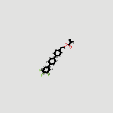 C=C(C)C(=O)OCCC1CCC(C2CCC(c3cc(F)c(F)c(F)c3)CC2)CC1